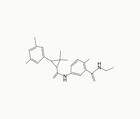 C=C(NCC)c1cc(NC(=C)C2C(c3cc(C)cc(C)c3)C2(C)C)ccc1C